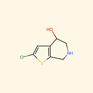 OC1CNCc2sc(Cl)cc21